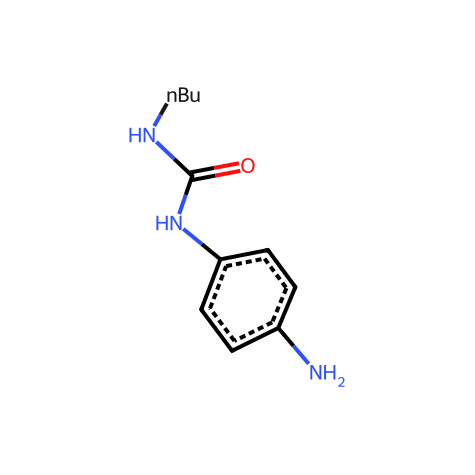 CCCCNC(=O)Nc1ccc(N)cc1